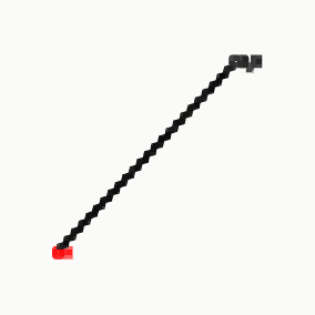 O=C(O)CCCCCCCCCCCCCCCCCCCCCCCCCCCCCCCCCCCCCCCCCCCCCCCCO